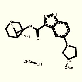 CO[C@H]1CCN(c2ccc3[nH]nc(C(=O)N[C@@H]4CN5CCC4CC5)c3c2)C1.O=CO